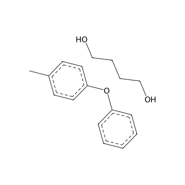 Cc1ccc(Oc2ccccc2)cc1.OCCCCO